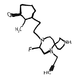 C#CCN1CC(F)N(CCC2CCCC(=O)C2C)CC12CNC2